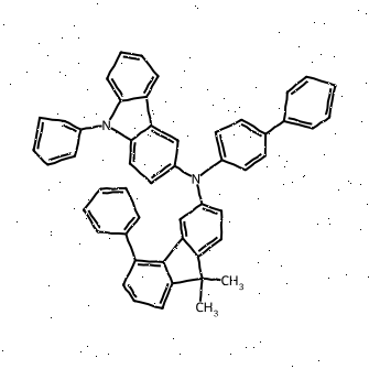 CC1(C)c2ccc(N(c3ccc(-c4ccccc4)cc3)c3ccc4c(c3)c3ccccc3n4-c3ccccc3)cc2-c2c(-c3ccccc3)cccc21